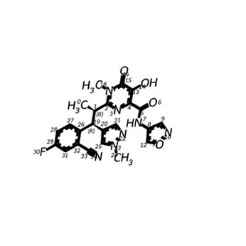 C[C@@H](c1nc(C(=O)Nc2cnoc2)c(O)c(=O)n1C)[C@@H](c1cnn(C)c1)c1ccc(F)cc1C#N